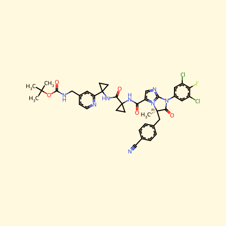 CC(C)(C)OC(=O)NCc1ccnc(C2(NC(=O)C3(NC(=O)c4cnc5n4[C@](C)(Cc4ccc(C#N)cc4)C(=O)N5c4cc(Cl)c(F)c(Cl)c4)CC3)CC2)c1